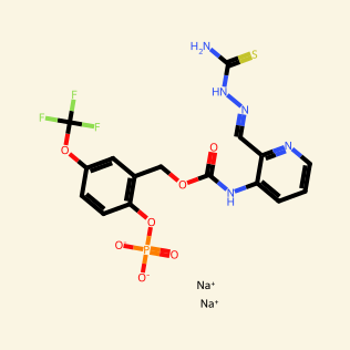 NC(=S)NN=Cc1ncccc1NC(=O)OCc1cc(OC(F)(F)F)ccc1OP(=O)([O-])[O-].[Na+].[Na+]